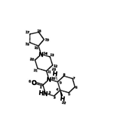 O=C1NC[C@H]2CCCC[C@@H]2N1C1CCN(C2CCCC2)CC1